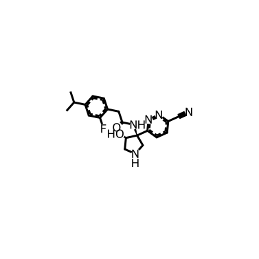 CC(C)c1ccc(CC(=O)N[C@@]2(c3ccc(C#N)nn3)CNC[C@H]2O)c(F)c1